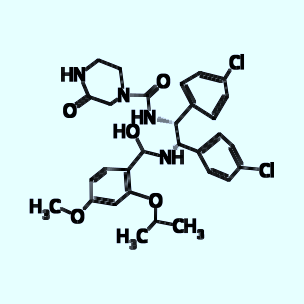 COc1ccc(C(O)N[C@@H](c2ccc(Cl)cc2)[C@H](NC(=O)N2CCNC(=O)C2)c2ccc(Cl)cc2)c(OC(C)C)c1